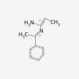 C/C=C(N)\N=C(/C)c1ccccc1